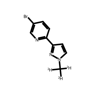 [2H]C([2H])([2H])n1ccc(-c2ccc(Br)cn2)n1